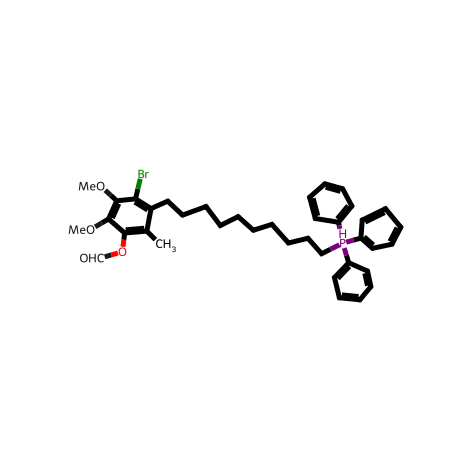 COc1c(Br)c(CCCCCCCCCC[PH](c2ccccc2)(c2ccccc2)c2ccccc2)c(C)c(OC=O)c1OC